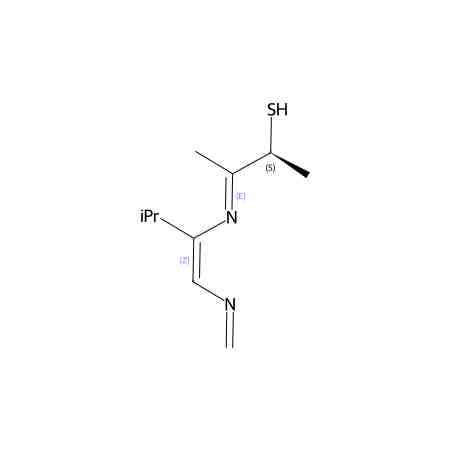 C=N/C=C(\N=C(/C)[C@H](C)S)C(C)C